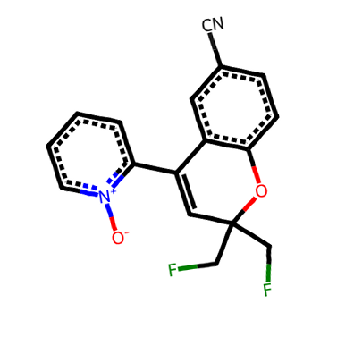 N#Cc1ccc2c(c1)C(c1cccc[n+]1[O-])=CC(CF)(CF)O2